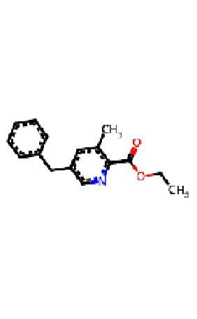 CCOC(=O)c1ncc(Cc2ccccc2)cc1C